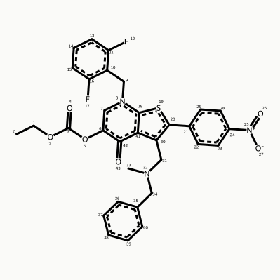 CCOC(=O)Oc1cn(Cc2c(F)cccc2F)c2sc(-c3ccc([N+](=O)[O-])cc3)c(CN(C)Cc3ccccc3)c2c1=O